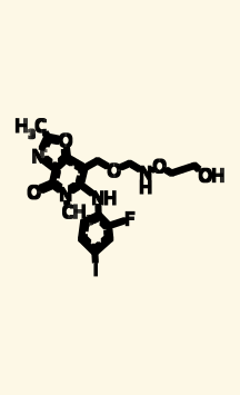 Cc1nc2c(=O)n(C)c(Nc3ccc(I)cc3F)c(COCNOCCO)c2o1